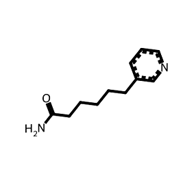 NC(=O)CCCCCc1cccnc1